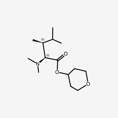 CC(C)[C@H](C)[C@@H](C(=O)OC1CCOCC1)N(C)C